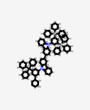 c1ccc(-c2cc(-n3c4ccccc4c4cc(-c5ccc6c(c5)c5ccccc5n6-c5cc([Si](c6ccccc6)(c6ccccc6)c6ccccc6)cc([Si](c6ccccc6)(c6ccccc6)c6ccccc6)c5)ccc43)cc(C(c3ccccc3)(c3ccccc3)c3ccccc3)c2)cc1